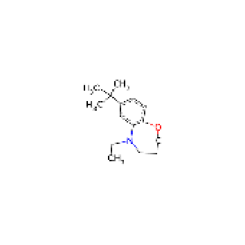 CCN1CCCOc2ccc(C(C)(C)C)cc21